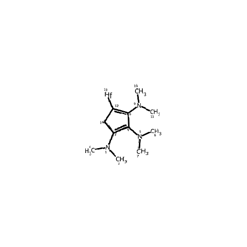 CN(C)C1=C(N(C)C)C(N(C)C)=[C]([Hf])C1